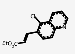 CCOC(=O)/C=C/c1ccc2ncccc2c1Cl